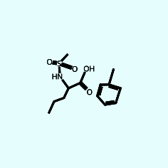 CCCC(NS(C)(=O)=O)C(=O)O.Cc1ccccc1